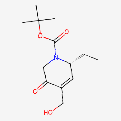 CC[C@@H]1C=C(CO)C(=O)CN1C(=O)OC(C)(C)C